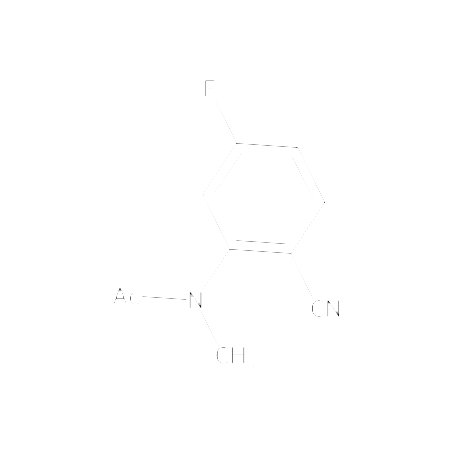 CC(=O)N(C)c1cc(F)ccc1C#N